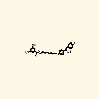 N#C/C(=C\c1ccc(F)cc1)c1ccc(OCCCCCCCCOC(=O)c2cc(N)cc(N)c2)cc1